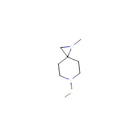 CN1CC12CCN(SS)CC2